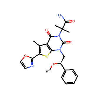 Cc1c(-c2ncco2)sc2c1c(=O)n(C(C)(C)C(N)=O)c(=O)n2C[C@H](OC(C)C)c1ccccc1